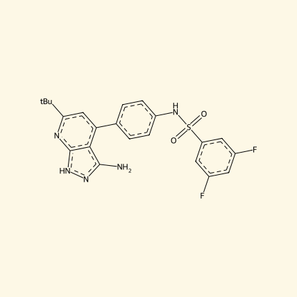 CC(C)(C)c1cc(-c2ccc(NS(=O)(=O)c3cc(F)cc(F)c3)cc2)c2c(N)n[nH]c2n1